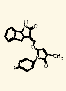 CC1=CC(OC=C2C(=O)NC3c4ccccc4CC23)N(c2ccc(F)cc2)C1=O